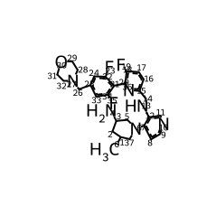 CC1CC(N)CN(c2ccncc2NCc2ccc(F)c(-c3c(F)cc(CN4CCOCC4)cc3F)n2)C1